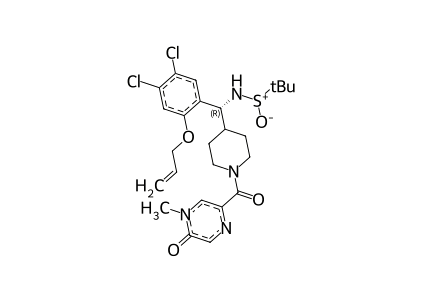 C=CCOc1cc(Cl)c(Cl)cc1[C@H](N[S+]([O-])C(C)(C)C)C1CCN(C(=O)c2cn(C)c(=O)cn2)CC1